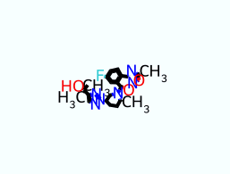 Cc1nc(-c2ccc(F)cc2C(=O)N2C[C@H](n3ncc(C(C)(C)O)n3)CC[C@H]2C)no1